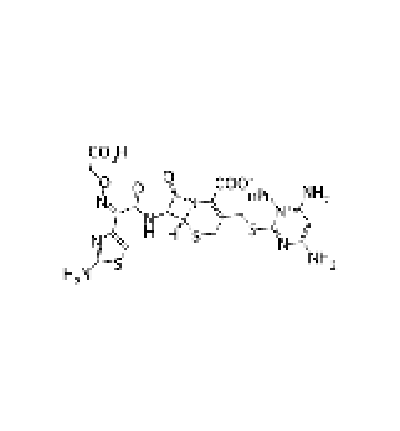 CCC[n+]1c(N)cc(N)nc1SCC1=C(C(=O)[O-])N2C(=O)C(NC(=O)/C(=N\OCC(=O)O)c3csc(N)n3)[C@H]2SC1